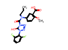 CCCN(C(=O)N1N=NN(c2c(F)cccc2F)C1O)c1ccc(OC)c(C(=O)O)c1